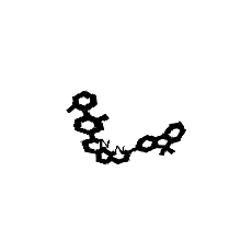 Cc1ccccc1-c1ccc(-c2ccc3ccc4ccc(-c5ccc6c(c5)C(C)(C)c5ccccc5-6)nc4c3n2)cc1C